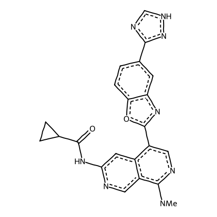 CNc1ncc(-c2nc3cc(-c4nc[nH]n4)ccc3o2)c2cc(NC(=O)C3CC3)ncc12